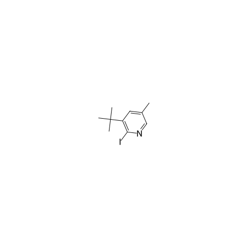 Cc1cnc(I)c(C(C)(C)C)c1